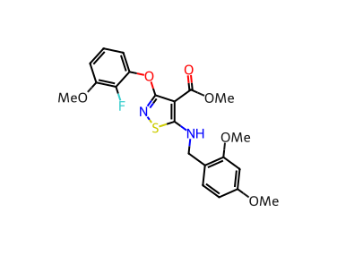 COC(=O)c1c(Oc2cccc(OC)c2F)nsc1NCc1ccc(OC)cc1OC